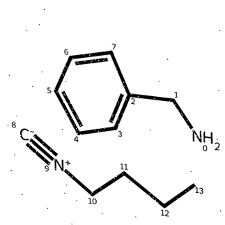 NCc1ccccc1.[C-]#[N+]CCCC